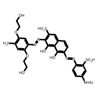 CC(=O)Nc1ccc(/N=N/c2ccc3cc(S(=O)(=O)O)c(/N=N/c4cc(OCCO)c(N)cc4OCCO)c(O)c3c2O)c(S(=O)(=O)O)c1